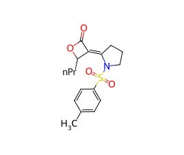 CCCC1OC(=O)/C1=C1\CCCN1S(=O)(=O)c1ccc(C)cc1